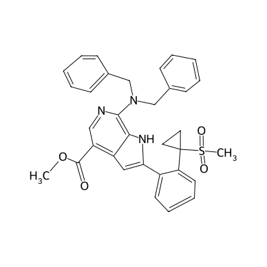 COC(=O)c1cnc(N(Cc2ccccc2)Cc2ccccc2)c2[nH]c(-c3ccccc3C3(S(C)(=O)=O)CC3)cc12